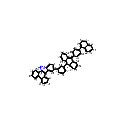 c1cc(-c2ccc3[nH]c4c5ccccc5c5ccccc5c4c3c2)cc(-c2c3ccccc3c(-c3ccc(-c4cccc5ccccc45)cc3)c3ccccc23)c1